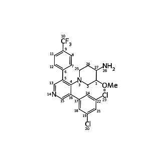 COC1CN(c2c(-c3ccc(C(F)(F)F)cc3)cncc2-c2cc(Cl)cc(Cl)c2)CCC1N